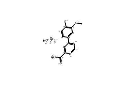 COc1cc(-c2cc(C(=O)O)ncn2)ccc1F.O.[Li+].[OH-]